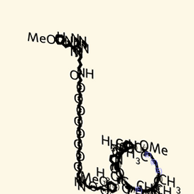 COc1ccc2[nH]c(-c3nn(CCCCNC(=O)CCOCCOCCOCCOCCOCCOCCOCCOCCn4cc(COCCO[C@@H]5CC[C@@H](C[C@@H](C)[C@@H]6CC(=O)[C@H](C)/C=C(\C)[C@@H](O)[C@@H](OC)C(=O)[C@H](C)C[C@H](C)/C=C/C=C/C=C(\C)[C@@H](OC)C[C@@H]7CC[C@@H](C)[C@@](O)(O7)C(=O)C(=O)N7CCCC[C@H]7C(=O)O6)C[C@H]5OC)nn4)c4ncnc(N)c34)cc2c1